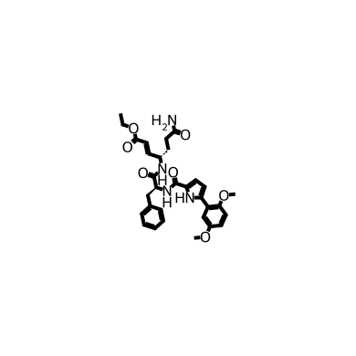 CCOC(=O)/C=C/[C@H](CCC(N)=O)NC(=O)[C@H](Cc1ccccc1)NC(=O)c1ccc(-c2cc(OC)ccc2OC)[nH]1